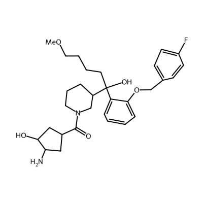 COCCCCC(O)(c1ccccc1OCc1ccc(F)cc1)C1CCCN(C(=O)C2CC(N)C(O)C2)C1